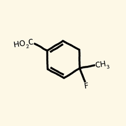 CC1(F)C=CC(C(=O)O)=CC1